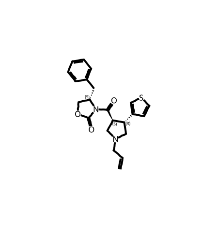 C=CCN1C[C@@H](C(=O)N2C(=O)OC[C@@H]2Cc2ccccc2)[C@H](c2ccsc2)C1